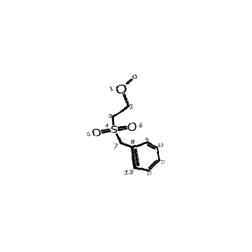 COCCS(=O)(=O)Cc1[c]cccc1